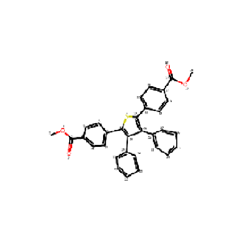 COC(=O)c1ccc(-c2sc(-c3ccc(C(=O)OC)cc3)c(-c3ccccc3)c2-c2ccccc2)cc1